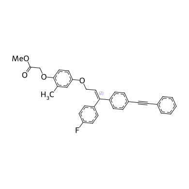 COC(=O)COc1ccc(OC/C=C(\c2ccc(F)cc2)c2ccc(C#Cc3ccccc3)cc2)cc1C